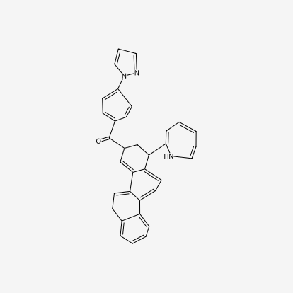 O=C(c1ccc(-n2cccn2)cc1)C1C=c2c(ccc3c2=CCc2ccccc2-3)C(C2=CC=CC=CN2)C1